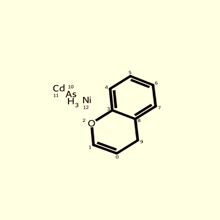 C1=COc2ccccc2C1.[AsH3].[Cd].[Ni]